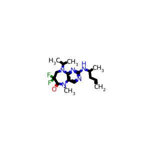 C=CCC(C)Nc1ncc2c(n1)N(C(C)C)CC(F)(F)C(=O)N2C